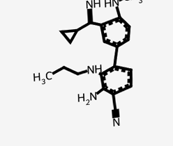 CCCNc1c(-c2ccc(NC)c(C(=N)C3CC3)c2)ccc(C#N)c1N